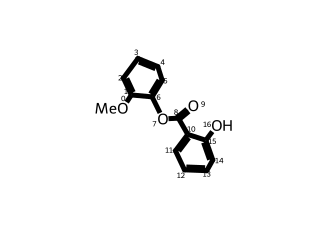 COc1ccccc1OC(=O)c1ccccc1O